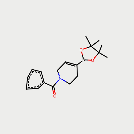 CC1(C)OB(C2=CCN(C(=O)c3ccccc3)CC2)OC1(C)C